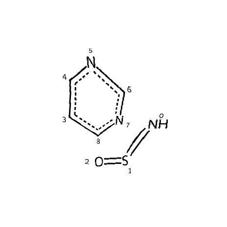 N=S=O.c1cncnc1